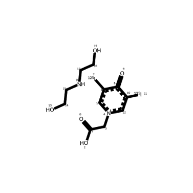 O=C(O)Cn1cc([125I])c(=O)c([125I])c1.OCCNCCO